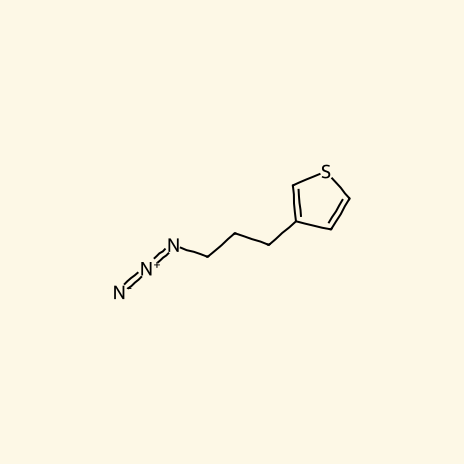 [N-]=[N+]=NCCCc1ccsc1